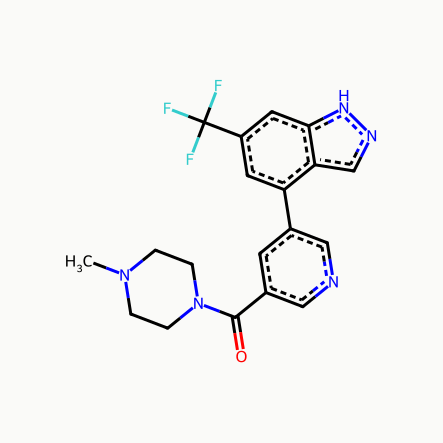 CN1CCN(C(=O)c2cncc(-c3cc(C(F)(F)F)cc4[nH]ncc34)c2)CC1